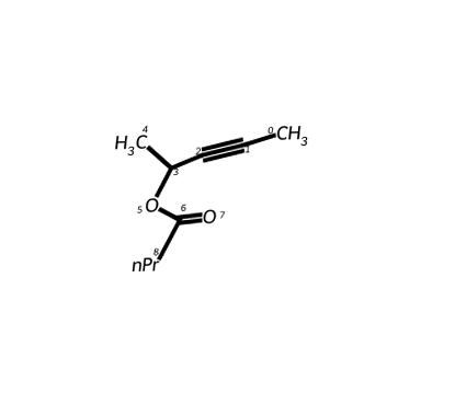 CC#CC(C)OC(=O)CCC